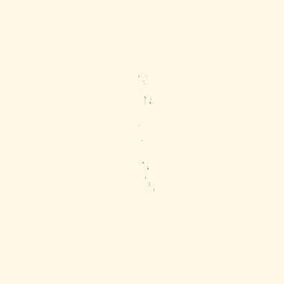 O=C=NCC1=CC2CC1CC2CN=C=O